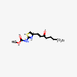 CCOC(=O)CCCC(=O)/C=C/c1csc(NC(=O)OC(C)(C)C)n1